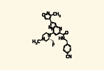 Cc1nocc1-c1cc2nc(C(=O)NCc3ccc(C#N)cc3)cc(N3CCN(C)C[C@H]3CF)n2n1